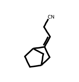 N#CC/C=C1/CC2CCC1C2